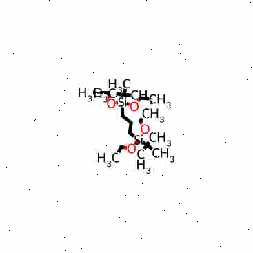 CCO[Si](CCC[Si](OCC)(OCC)C(C)(C)C)(OCC)C(C)(C)C